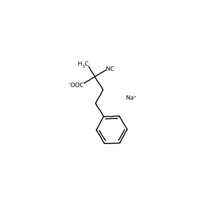 [C-]#[N+]C(C)(CCc1ccccc1)C(=O)[O-].[Na+]